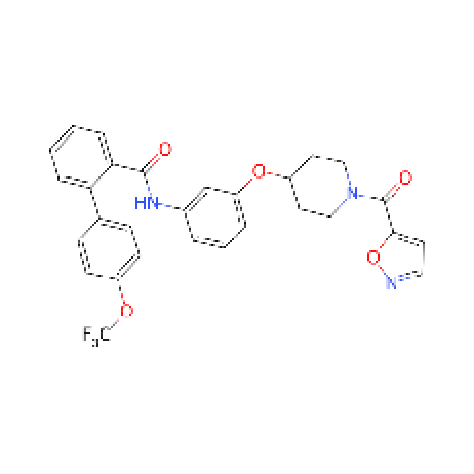 O=C(Nc1cccc(OC2CCN(C(=O)c3ccno3)CC2)c1)c1ccccc1-c1ccc(OC(F)(F)F)cc1